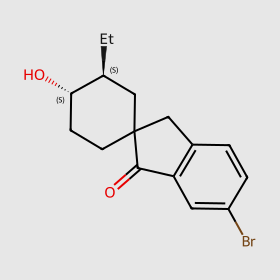 CC[C@H]1CC2(CC[C@@H]1O)Cc1ccc(Br)cc1C2=O